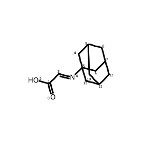 O=C(O)/C=N/C12CC3CC(CC(C3)C1)C2